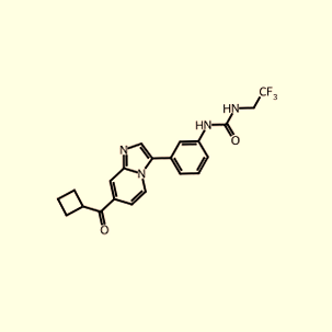 O=C(NCC(F)(F)F)Nc1cccc(-c2cnc3cc(C(=O)C4CCC4)ccn23)c1